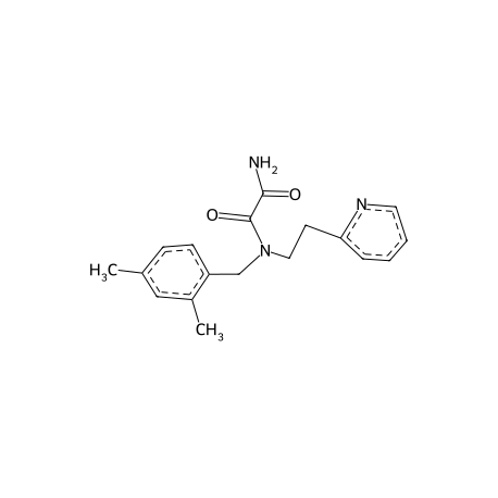 Cc1ccc(CN(CCc2ccccn2)C(=O)C(N)=O)c(C)c1